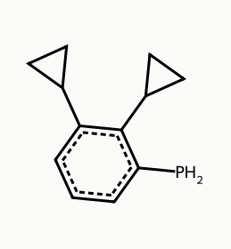 Pc1cccc(C2CC2)c1C1CC1